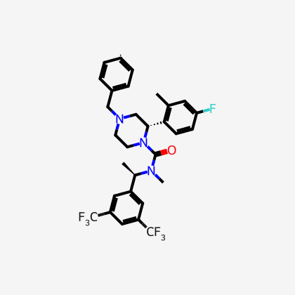 Cc1cc(F)ccc1[C@H]1CN(Cc2cc[c]cc2)CCN1C(=O)N(C)[C@H](C)c1cc(C(F)(F)F)cc(C(F)(F)F)c1